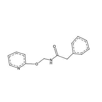 O=C(Cc1ccccc1)NCOc1ccccn1